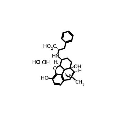 CN1CC[C@]23c4c5ccc(O)c4O[C@H]2[C@@H](N[C@@H](Cc2ccccc2)C(=O)O)CC[C@@]3(O)[C@H]1C5.Cl.Cl